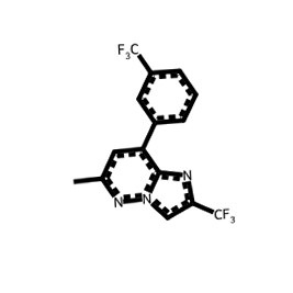 Cc1cc(-c2cccc(C(F)(F)F)c2)c2nc(C(F)(F)F)cn2n1